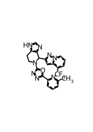 Cc1cccc(-c2nnc(N3CCc4[nH]cnc4C3c3cc4c(C(F)(F)F)cccn4n3)o2)n1